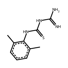 Cc1cccc(C)c1NC(=S)NC(=N)N